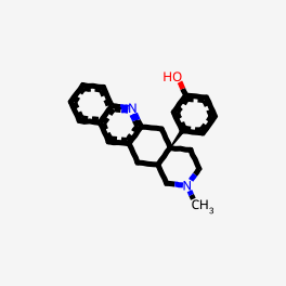 CN1CC[C@@]2(c3cccc(O)c3)Cc3nc4ccccc4cc3CC2C1